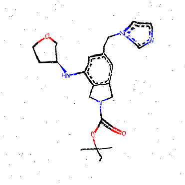 CC(C)(C)OC(=O)N1Cc2cc(Cn3ccnc3)cc(N[C@H]3CCOC3)c2C1